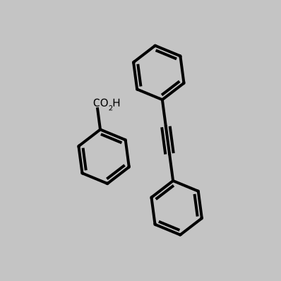 C(#Cc1ccccc1)c1ccccc1.O=C(O)c1ccccc1